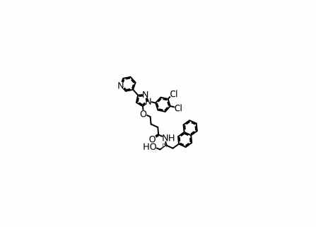 O=C(CCCOc1cc(-c2cccnc2)nn1-c1ccc(Cl)c(Cl)c1)N[C@H](CO)Cc1ccc2ccccc2c1